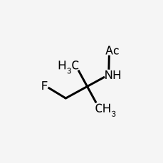 CC(=O)NC(C)(C)CF